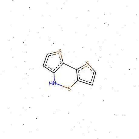 c1cc2c(s1)-c1sccc1SN2